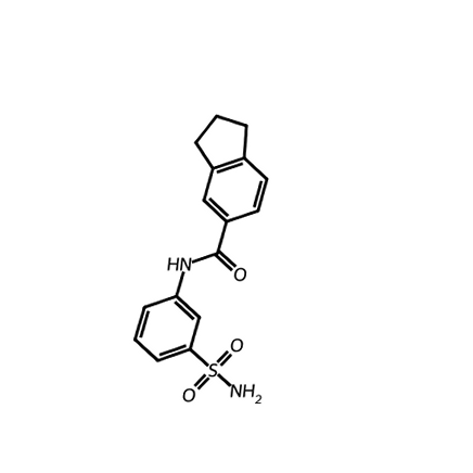 NS(=O)(=O)c1cccc(NC(=O)c2ccc3c(c2)CCC3)c1